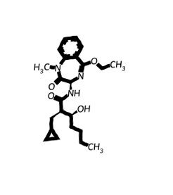 CCCC[C@H](O)[C@@H](CC1CC1)C(=O)N[C@@H]1N=C(OCC)c2ccccc2N(C)C1=O